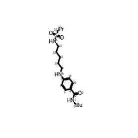 CCC(C)NC(=O)c1ccc(NCCCCCNS(=O)(=O)C(C)C)cc1